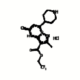 Cc1nn2c(C3CCNCC3)cc(=O)[nH]c2c1C(=O)OCC(F)(F)F.Cl